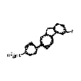 CCCCCc1ccc(-c2ccc3c(c2)Cc2ccc(F)cc2-3)cc1